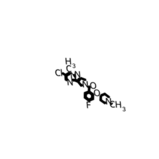 Cc1c(Cl)cnc2c3c(nn12)CN(C(=O)c1ccc(F)cc1OC1CCN(C)CC1)C3